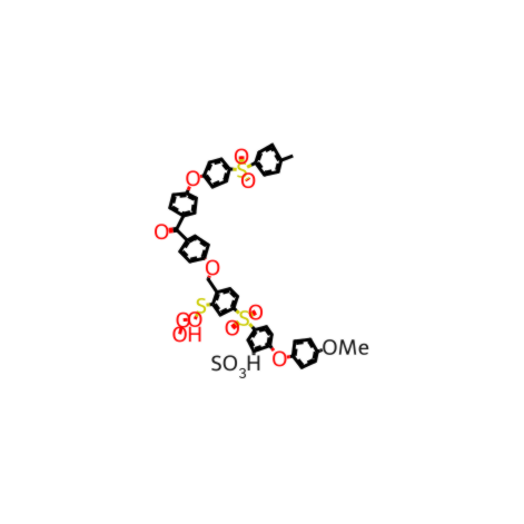 COc1ccc(Oc2ccc(S(=O)(=O)c3ccc(COc4ccc(C(=O)c5ccc(Oc6ccc(S(=O)(=O)c7ccc(C)cc7)cc6)cc5)cc4)c(SOOO)c3)cc2S(=O)(=O)O)cc1